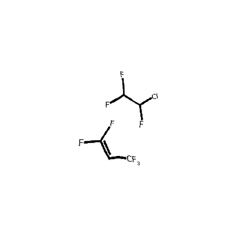 FC(F)=CC(F)(F)F.FC(F)C(F)Cl